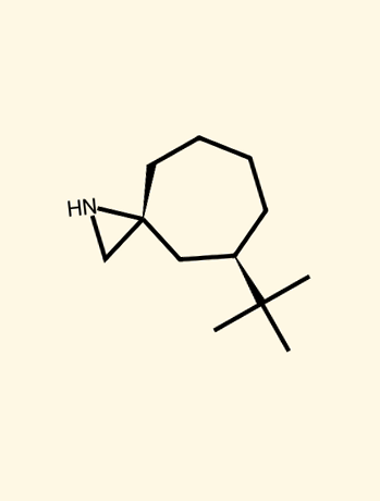 CC(C)(C)[C@@H]1CCCC[C@]2(CN2)C1